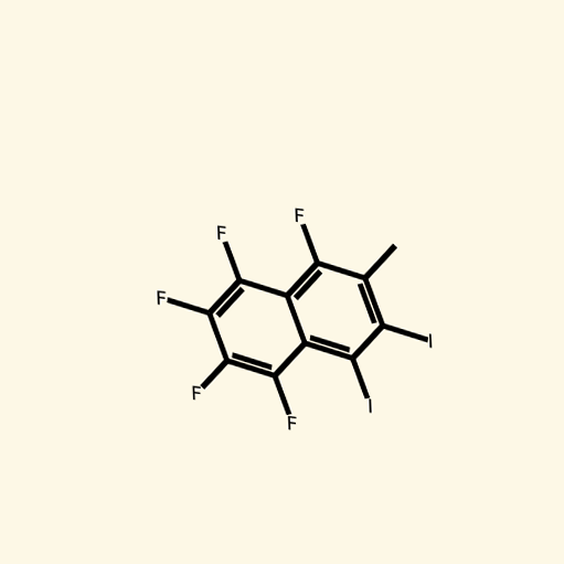 Cc1c(I)c(I)c2c(F)c(F)c(F)c(F)c2c1F